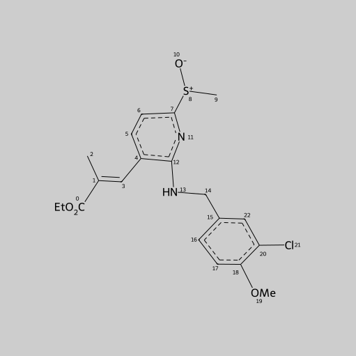 CCOC(=O)C(C)=Cc1ccc([S+](C)[O-])nc1NCc1ccc(OC)c(Cl)c1